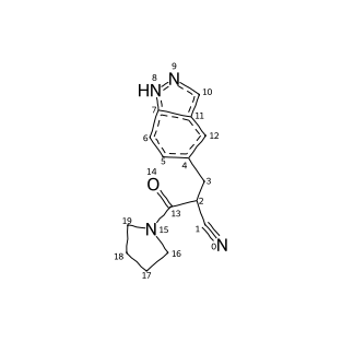 N#CC(Cc1ccc2[nH]ncc2c1)C(=O)N1CCCC1